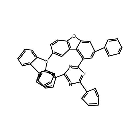 c1ccc(-c2cc(-c3nc(-c4ccccc4)nc(-c4ccccc4)n3)c3c(c2)oc2ccc(-n4c5ccccc5c5ccccc54)cc23)cc1